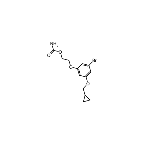 NC(=O)OCCOc1cc(Br)cc(OCC2CC2)c1